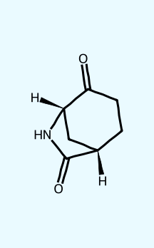 O=C1N[C@H]2C[C@@H]1CCC2=O